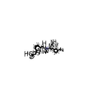 CCC(C)(CC(=O)O)c1cccc(CN/C=C(\N=N)c2cc(-c3cccc(C#N)c3F)nc(N)n2)n1